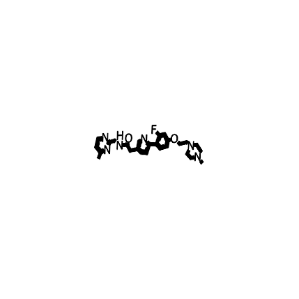 Cc1ccnc(CNC(=O)Cc2ccc(-c3ccc(OCCN4CCN(C)CC4)cc3F)nc2)n1